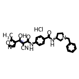 Cc1oncc1/C(O)=C(\C#N)C(=O)Nc1ccc(C(=O)N[C@H]2CCN(Cc3ccccc3)C2)cc1.Cl